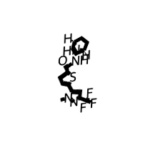 Cn1nc(C(F)(F)F)cc1-c1ccc(C(=O)N[C@@H]2C[C@H]3CC[C@@H]2N3)s1